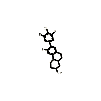 CCCC1CCC2c3cc(F)c(-c4cc(F)c(Cl)c(F)c4)cc3CCC2C1